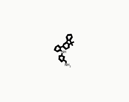 CC1(C)c2ccccc2-c2cc(-c3ccccc3Nc3cccc(CN)c3)ccc21